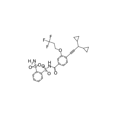 NS(=O)(=O)c1ccccc1S(=O)(=O)NC(=O)c1ccc(C#CC(C2CC2)C2CC2)c(OCCC(F)(F)F)c1